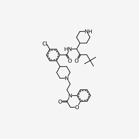 CC(C)(C)CC(=O)C(NC(=O)c1cc(Cl)ccc1C1CCN(CCN2C(=O)COc3ccccc32)CC1)C1CCNCC1